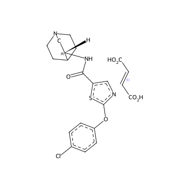 O=C(N[C@H]1CN2CCC1CC2)c1cnc(Oc2ccc(Cl)cc2)s1.O=C(O)/C=C/C(=O)O